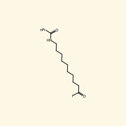 CCCC(=O)NCCCCCCCCCC(=O)I